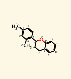 Cc1ccc(C2CCc3ccccc3O2)c(C)c1